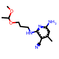 COC(C)OCCCNc1nc(N)cc(C)c1C#N